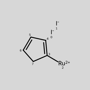 [I-].[I-].[Ru+2][C]1=CC=CC1